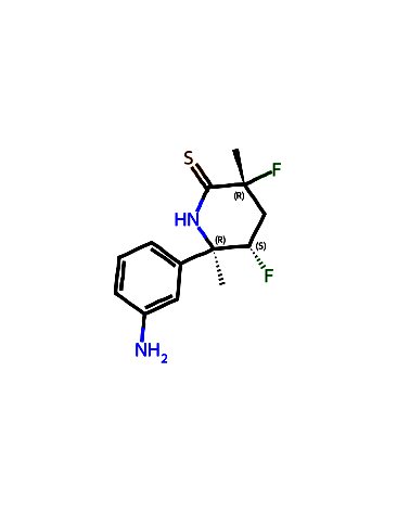 C[C@@]1(F)C[C@H](F)[C@@](C)(c2cccc(N)c2)NC1=S